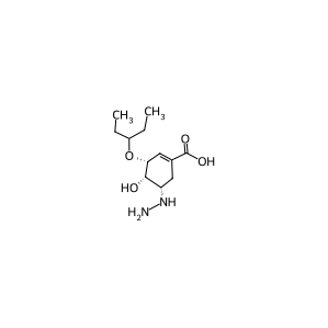 CCC(CC)O[C@@H]1C=C(C(=O)O)C[C@H](NN)[C@@H]1O